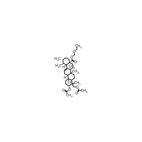 CCOCOC(=O)[C@]12CC[C@@H](C)[C@H](C)[C@H]1C1=CC[C@@H]3[C@@]4(C)CC[C@H](OC(C)=O)C(C)(COC(C)=O)C4CC[C@@]3(C)[C@]1(C)CC2